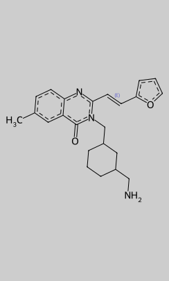 Cc1ccc2nc(/C=C/c3ccco3)n(CC3CCCC(CN)C3)c(=O)c2c1